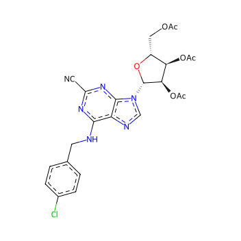 CC(=O)OC[C@H]1O[C@@H](n2cnc3c(NCc4ccc(Cl)cc4)nc(C#N)nc32)[C@H](OC(C)=O)[C@@H]1OC(C)=O